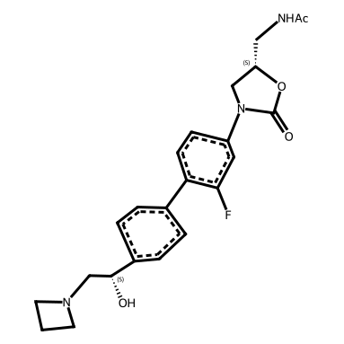 CC(=O)NC[C@H]1CN(c2ccc(-c3ccc([C@H](O)CN4CCC4)cc3)c(F)c2)C(=O)O1